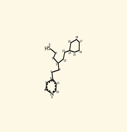 SCCC(C[CH]c1ccncc1)CCC1CCCCC1